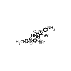 CCCOc1ccc(S(=O)(=O)N2CCN(C)CC2)cc1-c1nc2c(CCC)n(-c3ccc(N)cc3)nc2c(=O)[nH]1